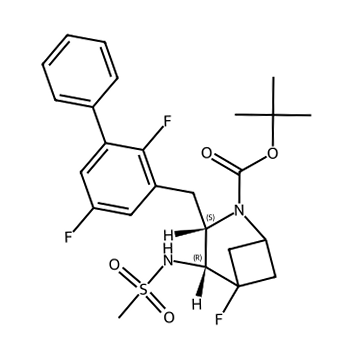 CC(C)(C)OC(=O)N1C2CC(F)(C2)[C@H](NS(C)(=O)=O)[C@@H]1Cc1cc(F)cc(-c2ccccc2)c1F